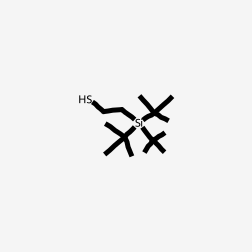 CC(C)(C)[Si](CCS)(C(C)(C)C)C(C)(C)C